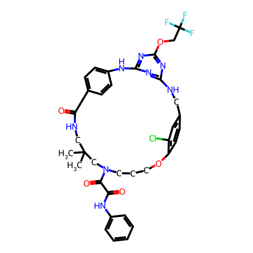 CC1(C)CNC(=O)c2ccc(cc2)Nc2nc(nc(OCC(F)(F)F)n2)NCc2ccc(c(Cl)c2)OCCCN(C(=O)C(=O)Nc2ccccc2)C1